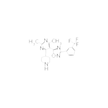 Cc1nc(C)c(-c2nc(-c3cccc(C(F)(F)F)c3)no2)c(C2CCNCC2)n1